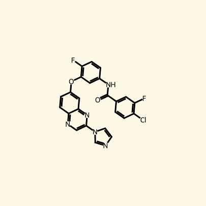 O=C(Nc1ccc(F)c(Oc2ccc3ncc(-n4ccnc4)nc3c2)c1)c1ccc(Cl)c(F)c1